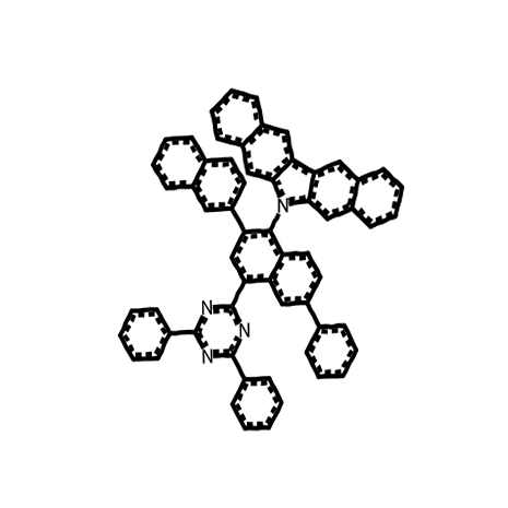 c1ccc(-c2ccc3c(-n4c5cc6ccccc6cc5c5cc6ccccc6cc54)c(-c4ccc5ccccc5c4)cc(-c4nc(-c5ccccc5)nc(-c5ccccc5)n4)c3c2)cc1